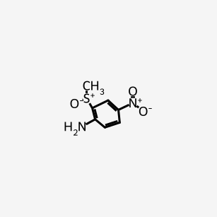 C[S+]([O-])c1cc([N+](=O)[O-])ccc1N